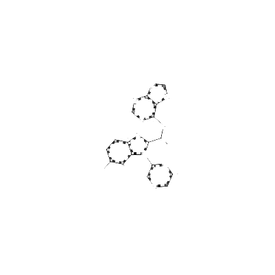 CC[C@H](Nc1ncnc2[nH]cnc12)c1nc2ccc(F)cc2n1-c1cnccn1